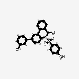 CCC1c2ccccc2-c2cc(-c3cccc(Cl)c3)ccc2N1S(=O)(=O)c1ccc(O)cc1